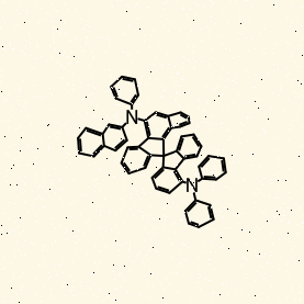 c1ccc(N(c2ccccc2)c2cccc3c2-c2ccccc2C32c3ccccc3-c3c(N(c4ccccc4)c4ccc5ccccc5c4)cc4ccccc4c32)cc1